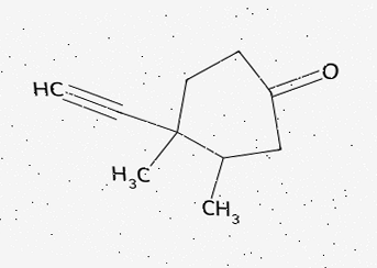 C#CC1(C)CCC(=O)CC1C